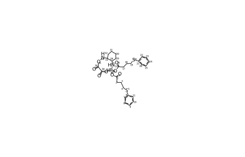 O=C(CCCSc1ccccc1)O[PH]1(OC(=O)CCCSc2ccccc2)NC2CCCCC2NOC(=O)C(=O)O1